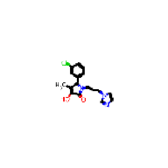 CC1=C(O)C(=O)N(CCCn2ccnc2)C1c1cccc(Cl)c1